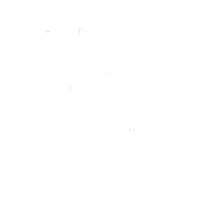 CCCCCC(C)(C)c1ccc(OCCOCCOCCOC2CCCCO2)c(CO)c1